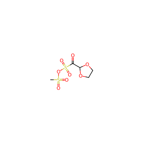 CS(=O)(=O)OS(=O)(=O)C(=O)C1OCCO1